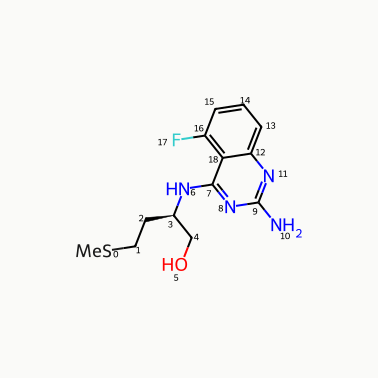 CSCC[C@H](CO)Nc1nc(N)nc2cccc(F)c12